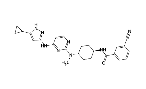 CN(c1nccc(Nc2cc(C3CC3)[nH]n2)n1)[C@H]1CC[C@H](NC(=O)c2cccc(C#N)c2)CC1